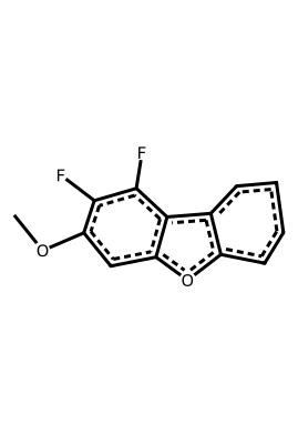 COc1cc2oc3ccccc3c2c(F)c1F